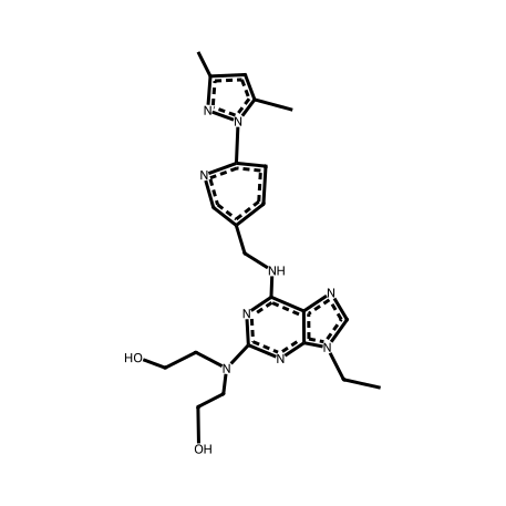 CCn1cnc2c(NCc3ccc(-n4nc(C)cc4C)nc3)nc(N(CCO)CCO)nc21